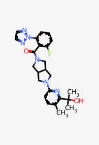 Cc1ccc(N2CC3CN(C(=O)c4c(F)cccc4-n4nccn4)CC3C2)nc1C(C)(C)O